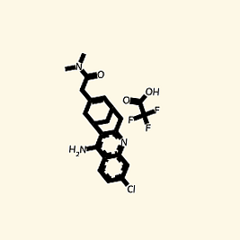 CN(C)C(=O)CC1=CC2Cc3nc4cc(Cl)ccc4c(N)c3C(C1)C2.O=C(O)C(F)(F)F